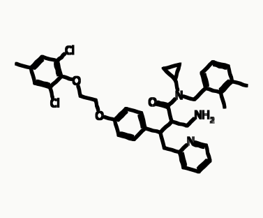 Cc1cc(Cl)c(OCCOc2ccc(C(Cc3ccccn3)C(CN)C(=O)N(Cc3cccc(C)c3C)C3CC3)cc2)c(Cl)c1